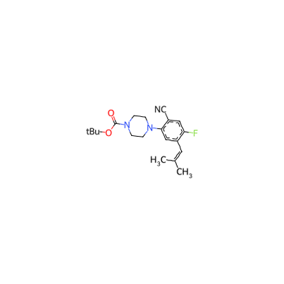 CC(C)=Cc1cc(N2CCN(C(=O)OC(C)(C)C)CC2)c(C#N)cc1F